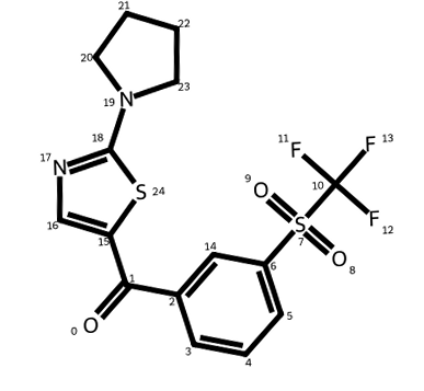 O=C(c1cccc(S(=O)(=O)C(F)(F)F)c1)c1cnc(N2CCCC2)s1